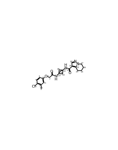 O=C(COc1ccc(Cl)c(F)c1)NC12CC(NC(=O)c3cnn4c3CCCC4)(C1)C2